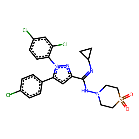 O=S1(=O)CCN(NC(=NC2CC2)c2cc(-c3ccc(Cl)cc3)n(-c3ccc(Cl)cc3Cl)n2)CC1